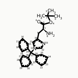 CC(C)(C)OC(=O)[C@@H](N)Cc1cn(C(c2ccccc2)(c2ccccc2)c2ccccc2)cn1